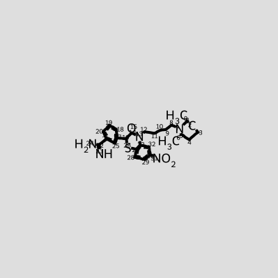 C[C@@H]1CCC[C@H](C)N1CCCCCN1C(=O)C(c2cccc(C(=N)N)c2)Sc2ccc([N+](=O)[O-])cc21